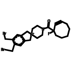 O=C(N1CC[N+]2(CC1)Cc1cc(CBr)c(CBr)cc1C2)C1(F)C#CCCCCC1